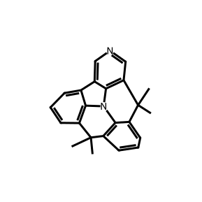 CC1(C)c2cccc3c2-n2c4c1cccc4c1cncc(c12)C3(C)C